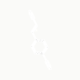 N#C/C=C/c1ccc(C#N)cc1